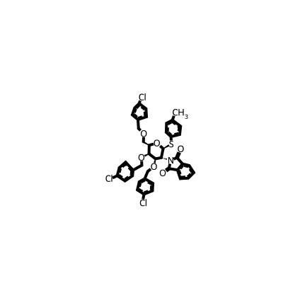 Cc1ccc(S[C@@H]2O[C@H](COCc3ccc(Cl)cc3)[C@H](OCc3ccc(Cl)cc3)[C@H](OCc3ccc(Cl)cc3)[C@H]2N2C(=O)c3ccccc3C2=O)cc1